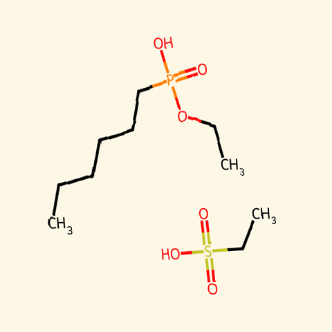 CCCCCCP(=O)(O)OCC.CCS(=O)(=O)O